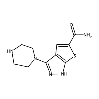 NC(=O)c1cc2c(N3CCNCC3)n[nH]c2s1